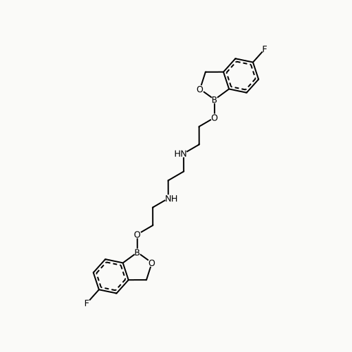 Fc1ccc2c(c1)COB2OCCNCCNCCOB1OCc2cc(F)ccc21